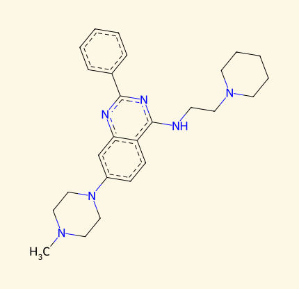 CN1CCN(c2ccc3c(NCCN4CCCCC4)nc(-c4ccccc4)nc3c2)CC1